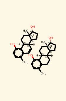 Cc1ccc(O)c2c1C=C[C@@H]1[C@@H]2CC[C@]2(C)[C@H](O)CC[C@@H]12.Cc1ccc(O)c2c1CC[C@@H]1[C@@H]2CC[C@]2(C)[C@H](O)CC[C@@H]12